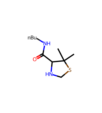 CCCCNC(=O)C1NCSC1(C)C